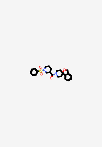 O=C(C1CCCN(S(=O)(=O)c2ccccc2)C1)N1CCC2(CC1)OCc1ccccc12